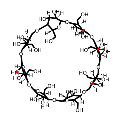 OC[C@H]1OC2OC3[C@@H](CO)OC(OC4[C@@H](CO)OC(O[C@H]5[C@H](O)[C@@H](O)C(O[C@H]6[C@H](O)[C@@H](O)C(O[C@H]7[C@H](O)[C@@H](O)C(O[C@H]8[C@H](O)C(O)C(O[C@H]9[C@H](O)[C@@H](O)C(OC1[C@H](O)[C@H]2O)O[C@@H]9CO)O[C@@H]8CO)O[C@@H]7CO)O[C@@H]6CO)O[C@@H]5CO)[C@H](O)[C@H]4O)[C@H](O)[C@H]3O